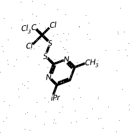 Cc1cc(C(C)C)nc(SSC(Cl)(Cl)C(Cl)(Cl)Cl)n1